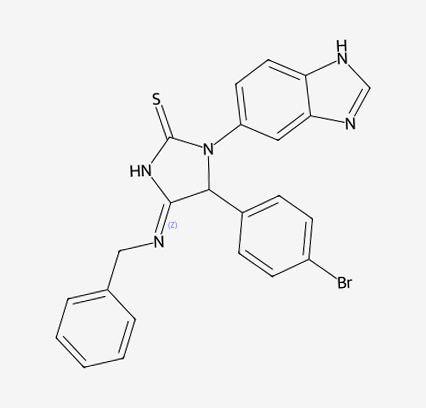 S=C1N/C(=N\Cc2ccccc2)C(c2ccc(Br)cc2)N1c1ccc2[nH]cnc2c1